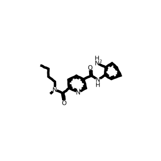 CCCCN(C)C(=O)c1ccc(C(=O)Nc2ccccc2N)cn1